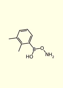 Cc1cccc(B(O)ON)c1C